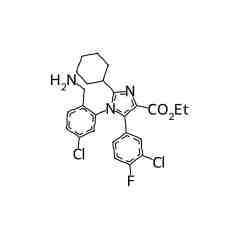 CCOC(=O)c1nc(C2CCCCC2)n(-c2cc(Cl)ccc2CN)c1-c1ccc(F)c(Cl)c1